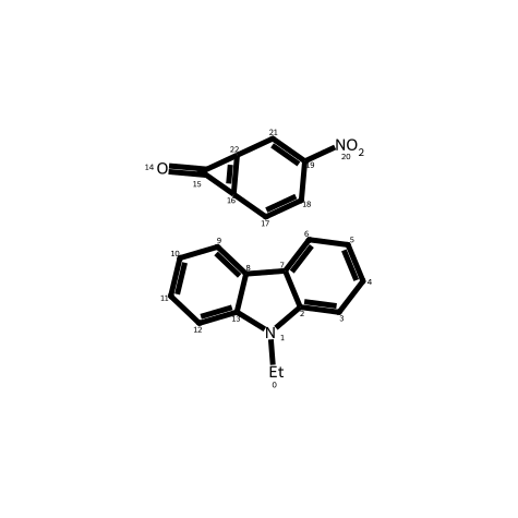 CCn1c2ccccc2c2ccccc21.O=c1c2ccc([N+](=O)[O-])cc12